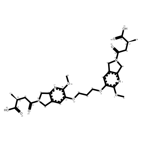 COc1nc2c(cc1OCCCOc1cc3c(nc1OC)CN(C(=O)C[C@H](C)C(=O)O)C3)CN(C(=O)C[C@H](C)C(=O)O)C2